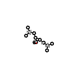 c1ccc(-c2nc(-c3ccccc3)nc(-c3ccc(-c4ccc5c(c4)C4(c6ccc(-c7cccc(-c8nc(-c9ccccc9)nc(-c9ccccc9)n8)c7)cc6-5)C5CC6CC(C5)CC4C6)nc3)n2)cc1